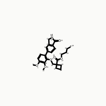 COc1ccc(-c2ccc3c(c2)CNC3=O)c(OCC2(C(=O)OCCCF)CCC2)c1OC